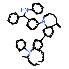 C=C1CC/C=C\N(c2cccc(C(Nc3ccccc3)c3ccccc3)c2)c2cc(-c3ccc4c(cccccc(C)n4-c4ccccc4)c3)ccc21